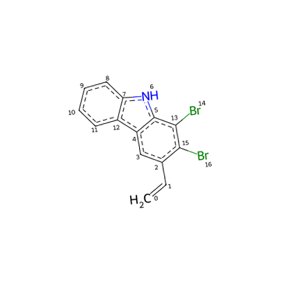 C=Cc1cc2c([nH]c3ccccc32)c(Br)c1Br